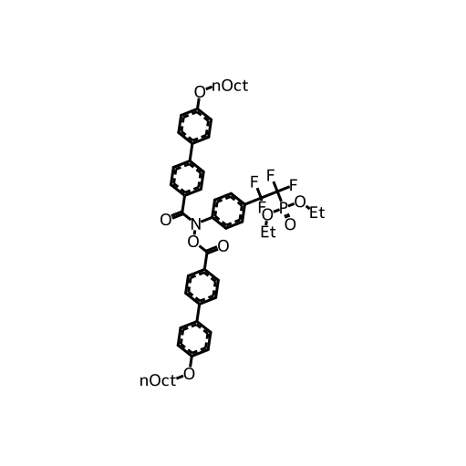 CCCCCCCCOc1ccc(-c2ccc(C(=O)ON(C(=O)c3ccc(-c4ccc(OCCCCCCCC)cc4)cc3)c3ccc(C(F)(F)C(F)(F)P(=O)(OCC)OCC)cc3)cc2)cc1